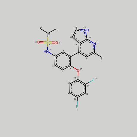 Cc1cc(-c2cc(NS(=O)(=O)C(C)C)ccc2Oc2ccc(F)cc2F)c2cc[nH]c2n1